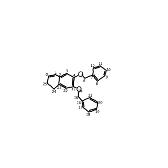 [C]1=Cc2cc(OCc3ccccc3)c(OCc3ccccc3)cc2CC1